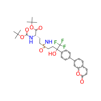 CC(C)(C)OC(=O)N[C@@H](CCS(=N)(=O)CCC(O)(c1ccc(-c2ccc3ccc(=O)oc3c2)cc1)C(F)(F)F)C(=O)OC(C)(C)C